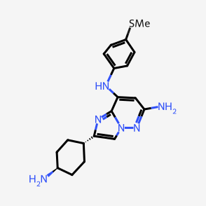 CSc1ccc(Nc2cc(N)nn3cc([C@H]4CC[C@H](N)CC4)nc23)cc1